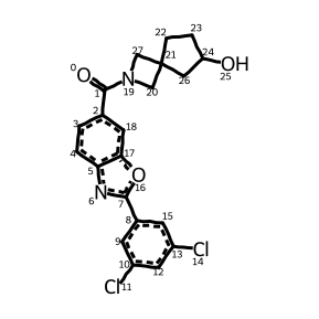 O=C(c1ccc2nc(-c3cc(Cl)cc(Cl)c3)oc2c1)N1CC2(CCC(O)C2)C1